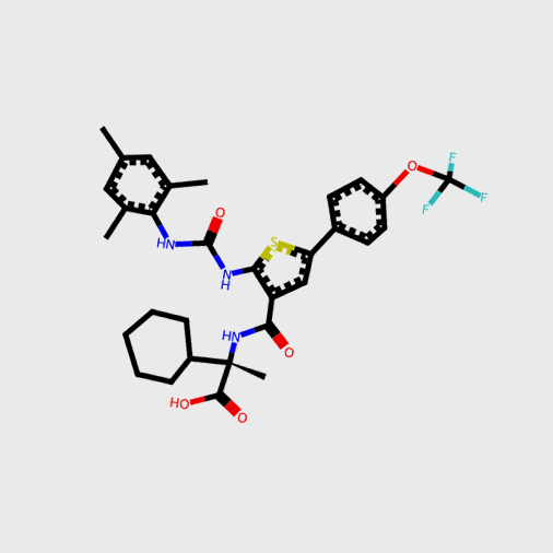 Cc1cc(C)c(NC(=O)Nc2sc(-c3ccc(OC(F)(F)F)cc3)cc2C(=O)N[C@](C)(C(=O)O)C2CCCCC2)c(C)c1